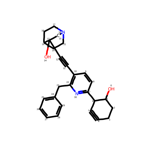 OC1CCC#CC1c1ccc(C#CC2(O)CN3CCC2CC3)c(Cc2ccccc2)n1